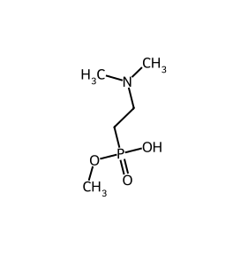 COP(=O)(O)CCN(C)C